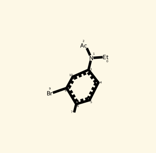 CCN(C(C)=O)c1ccc(C)c(Br)c1